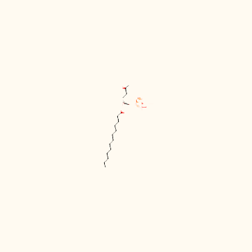 CCCCCCCCCCCCC(=O)O[C@@H](CCC(C)=O)COP(=O)(O)O